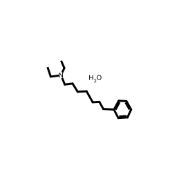 CCN(CC)CCCCCCCc1ccccc1.O